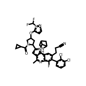 Cc1nc2c(F)c(-c3cccc(Cl)c3Cl)c(CCC#N)cc2c2c1cc(C1CC(Oc3ccnn3C(F)F)CN1C(=O)C1CC1)n2C1C2CNC1C2